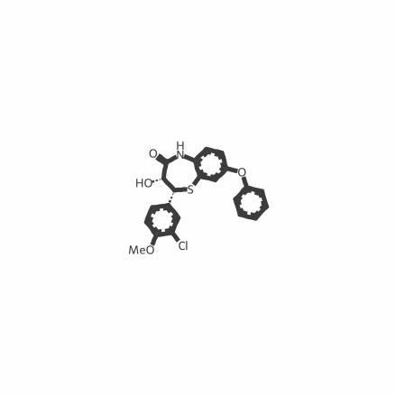 COc1ccc([C@H]2Sc3cc(Oc4ccccc4)ccc3NC(=O)[C@H]2O)cc1Cl